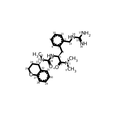 CN(C)C(=O)[C@H](Cc1ccccc1CNC(=N)N)NC(=O)N(C)[C@H]1CCOc2ccccc21